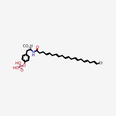 CC/C=C/C/C=C/C/C=C/C/C=C/C/C=C/C/C=C/CCC(=O)N[C@@H](Cc1ccc(OP(=O)(O)O)cc1)C(=O)O